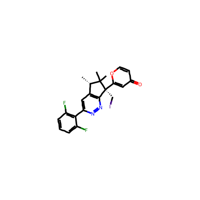 C[C@H]1c2cc(-c3c(F)cccc3F)nnc2[C@](CI)(c2cc(=O)cco2)C1(C)C